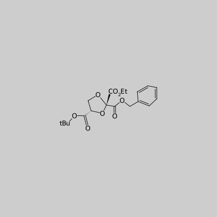 CCOC(=O)[C@]1(C(=O)OCc2ccccc2)OC[C@@H](C(=O)OC(C)(C)C)O1